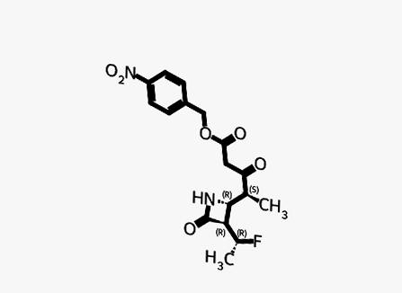 C[C@H](C(=O)CC(=O)OCc1ccc([N+](=O)[O-])cc1)[C@H]1NC(=O)[C@@H]1[C@@H](C)F